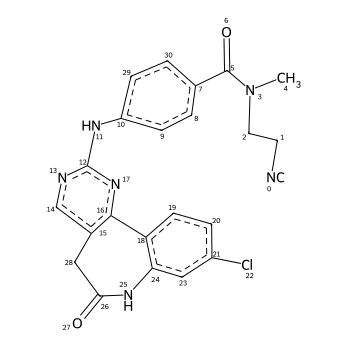 [C-]#[N+]CCN(C)C(=O)c1ccc(Nc2ncc3c(n2)-c2ccc(Cl)cc2NC(=O)C3)cc1